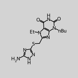 CCCCn1c(=O)[nH]c(=O)c2c1nc(CSc1n[nH]c(N)n1)n2CC